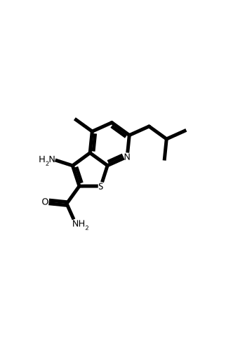 Cc1cc(CC(C)C)nc2sc(C(N)=O)c(N)c12